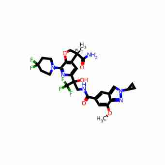 COc1cc(C(=O)NCC(O)(c2cc3c(c(N4CCC(F)(F)CC4)n2)OC[C@]3(C)C(N)=O)C(F)(F)F)cc2cn(C3CC3)nc12